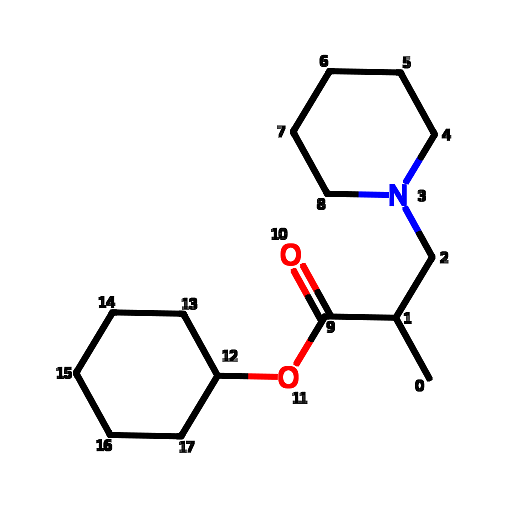 CC(CN1CCCCC1)C(=O)OC1CCCCC1